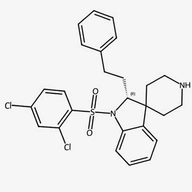 O=S(=O)(c1ccc(Cl)cc1Cl)N1c2ccccc2C2(CCNCC2)[C@H]1CCc1ccccc1